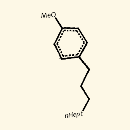 CCCCCCCCCCc1[c]cc(OC)cc1